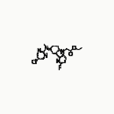 CCOC(=O)Cn1c2c(c3nc(F)ccc31)C[C@H](N(C)c1ncc(Cl)cn1)CC2